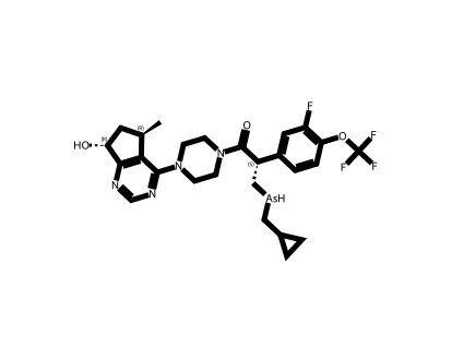 C[C@@H]1C[C@@H](O)c2ncnc(N3CCN(C(=O)[C@@H](C[AsH]CC4CC4)c4ccc(OC(F)(F)F)c(F)c4)CC3)c21